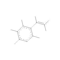 FC(F)=C(F)c1c(F)cc(F)c(F)c1F